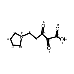 O=C(O)C(=O)C(=O)CCB1CCCC1